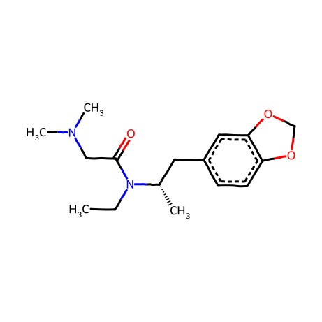 CCN(C(=O)CN(C)C)[C@@H](C)Cc1ccc2c(c1)OCO2